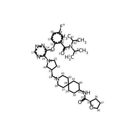 CC(C)N(C(=O)c1cc(F)ccc1Oc1nncnc1N1CC[C@@H](CN2CCC3(CCC(NC(=O)[C@H]4CCCO4)CC3)CC2)C1)C(C)C